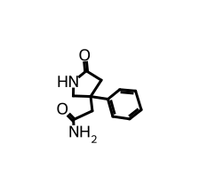 NC(=O)CC1(c2ccccc2)CNC(=O)C1